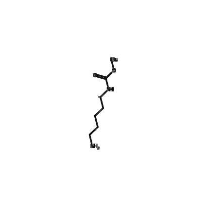 CC(C)(C)OC(=O)N[CH]CCCCN